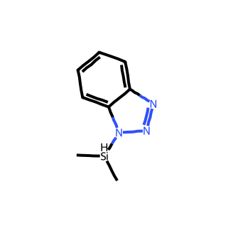 C[SiH](C)n1nnc2ccccc21